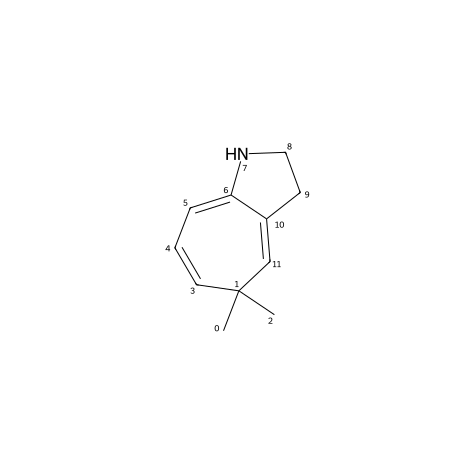 CC1(C)C=CC=C2NCCC2=C1